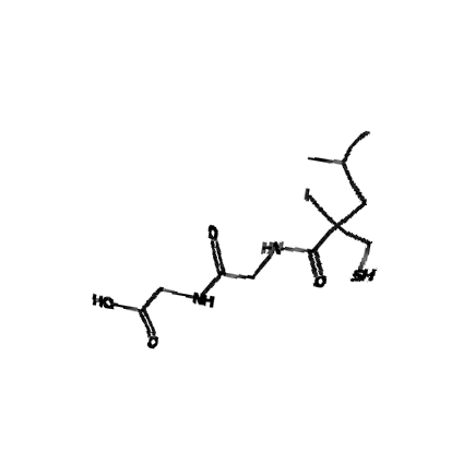 CC(C)CC(I)(CS)C(=O)NCC(=O)NCC(=O)O